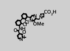 COc1nc(-c2cccc(-c3cccc(NC(=O)c4ccnn(C)c4=O)c3Cl)c2Cl)cnc1CN1CC(C(=O)O)C1